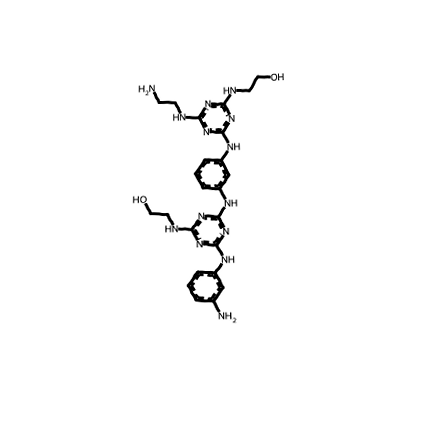 NCCNc1nc(NCCO)nc(Nc2cccc(Nc3nc(NCCO)nc(Nc4cccc(N)c4)n3)c2)n1